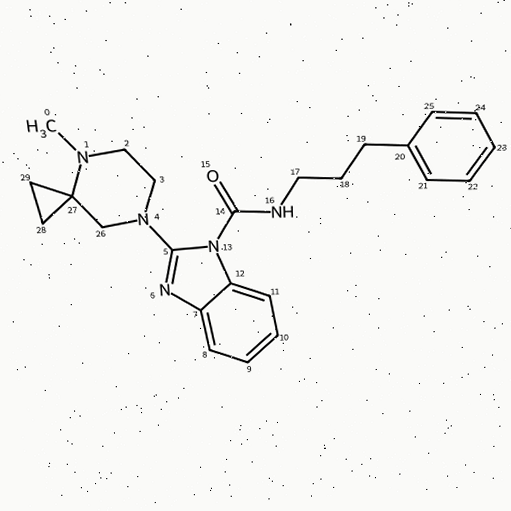 CN1CCN(c2nc3ccccc3n2C(=O)NCCCc2ccccc2)CC12CC2